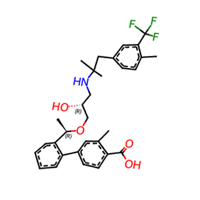 Cc1cc(-c2ccccc2[C@@H](C)OC[C@H](O)CNC(C)(C)Cc2ccc(C)c(C(F)(F)F)c2)ccc1C(=O)O